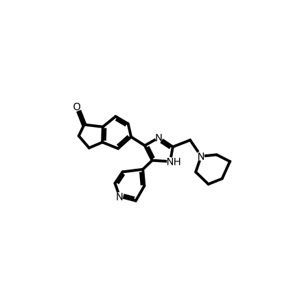 O=C1CCc2cc(-c3nc(CN4CCCCC4)[nH]c3-c3ccncc3)ccc21